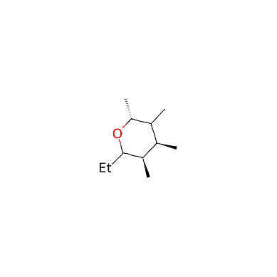 CCC1O[C@H](C)C(C)[C@@H](C)[C@H]1C